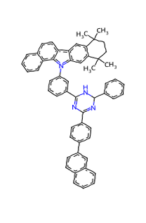 CC1(C)CCC(C)(C)c2cc3c(cc21)c1ccc2ccccc2c1n3-c1cccc(C2=NC(c3ccc(-c4ccc5ccccc5c4)cc3)=NC(c3ccccc3)N2)c1